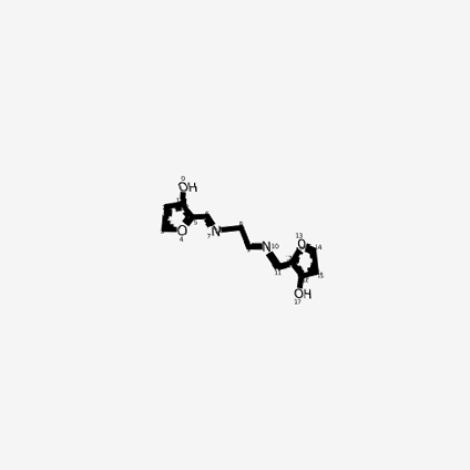 Oc1ccoc1/C=N/CC/N=C/c1occc1O